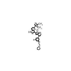 Cc1ncc(-c2ccc3[nH]nc(-c4cc5c(-c6cc(F)cc(OCCN7CCCC7)c6)ccnc5[nH]4)c3n2)n1C